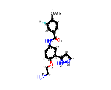 COc1ccc(C(=O)Nc2ccc(OCCN)c(-c3ccn[nH]3)c2)cc1F